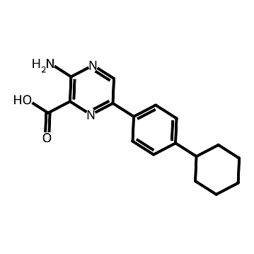 Nc1ncc(-c2ccc(C3CCCCC3)cc2)nc1C(=O)O